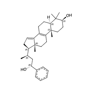 C[C@H](C[C@@H](O)c1ccccc1)[C@H]1CC=C2C3=C(CC[C@@]21C)[C@@]1(C)CC[C@H](O)C(C)(C)[C@@H]1CC3